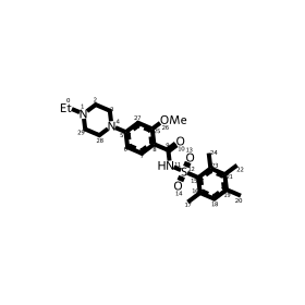 CCN1CCN(c2ccc(C(=O)NS(=O)(=O)c3c(C)cc(C)c(C)c3C)c(OC)c2)CC1